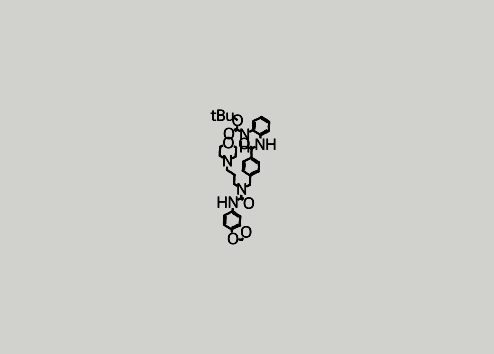 CC(C)(C)OC(=O)Nc1ccccc1NC(=O)c1ccc(CN(CCCN2CCOCC2)C(=O)Nc2ccc3c(c2)OCO3)cc1